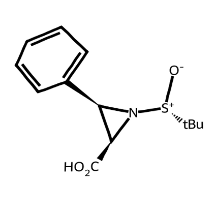 CC(C)(C)[S@@+]([O-])N1[C@H](c2ccccc2)[C@@H]1C(=O)O